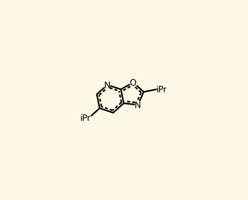 CC(C)c1cnc2oc(C(C)C)nc2c1